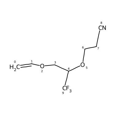 C=COCC(OCCC#N)C(F)(F)F